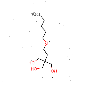 CCCCCCCCCCCCOCCC(CO)(CO)CO